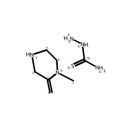 C=C1CNCCN1C.NNC(N)=S